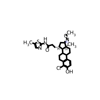 CO/N=C1\C[C@@H](CCC(=O)Nc2ncc(C)s2)C2C3CCc4c(ccc(O)c4Cl)C3CC[C@]12C